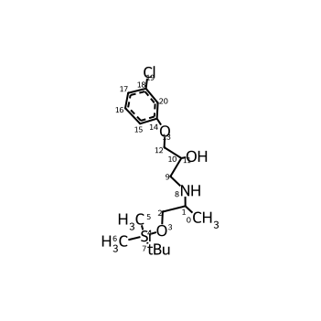 CC(CO[Si](C)(C)C(C)(C)C)NCC(O)COc1cccc(Cl)c1